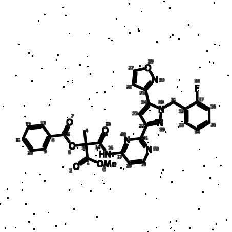 COC(=O)C(C)(OC(=O)c1ccccc1)C(=O)Nc1ccnc(-c2cc(-c3ccon3)n(Cc3ccccc3F)n2)n1